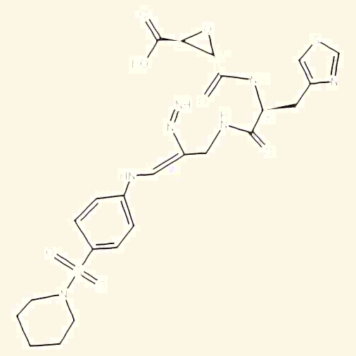 N=N/C(=C\Nc1ccc(S(=O)(=O)N2CCCCC2)cc1)CNC(=O)[C@H](Cc1cscn1)NC(=O)[C@H]1O[C@@H]1C(=O)O